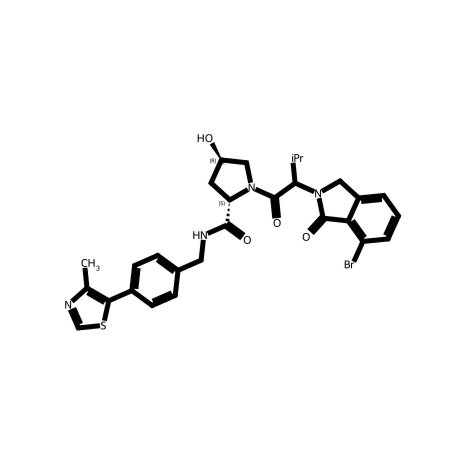 Cc1ncsc1-c1ccc(CNC(=O)[C@@H]2C[C@@H](O)CN2C(=O)C(C(C)C)N2Cc3cccc(Br)c3C2=O)cc1